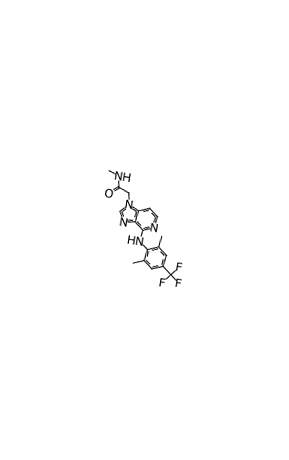 CNC(=O)Cn1cnc2c(Nc3c(C)cc(C(F)(F)F)cc3C)nccc21